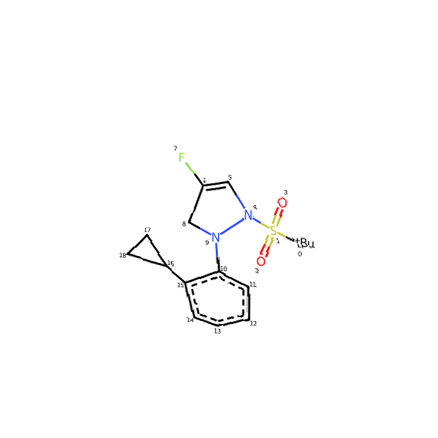 CC(C)(C)S(=O)(=O)N1C=C(F)CN1c1ccccc1C1CC1